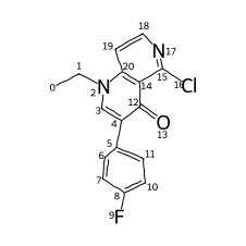 CCn1cc(-c2ccc(F)cc2)c(=O)c2c(Cl)nccc21